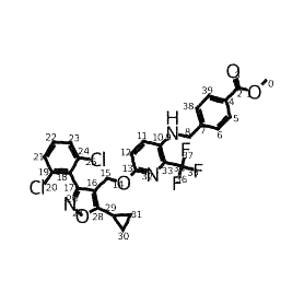 COC(=O)c1ccc(CNc2ccc(OCc3c(-c4c(Cl)cccc4Cl)noc3C3CC3)nc2C(F)(F)F)cc1